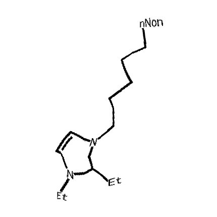 CCCCCCCCCCCCCCN1C=CN(CC)C1CC